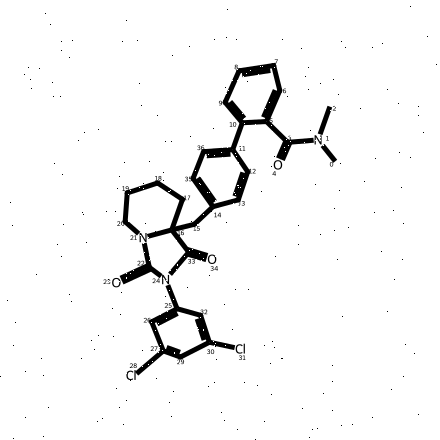 CN(C)C(=O)c1ccccc1-c1ccc(CC23CCCCN2C(=O)N(c2cc(Cl)cc(Cl)c2)C3=O)cc1